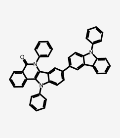 O=c1c2ccccc2c2c(c3cc(-c4ccc5c(c4)c4ccccc4n5-c4ccccc4)ccc3n2-c2ccccc2)n1-c1ccccc1